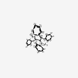 CC([CH]([Pd][Cl])P(c1ccccc1)c1ccccc1)P(c1ccccc1)c1ccccc1